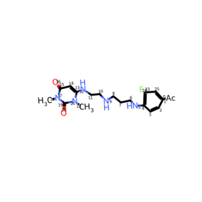 CC(=O)c1ccc(NCCCNCCNc2cc(=O)n(C)c(=O)n2C)c(F)c1